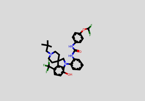 CC(C)(C)CN1CCC2(CC1)CN(c1ccccc1NC(=O)Nc1ccc(OC(F)F)cc1)c1c(O)ccc(C(F)(F)F)c12